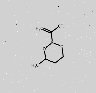 C=C(B1OCCC(C)O1)C(F)(F)F